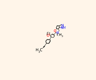 CC#Cc1ccc(-c2ccc(C(=O)N(C)Cc3cccc4cn[nH]c34)cc2OCC)cc1